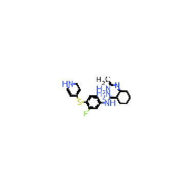 C=C(N)/N=C1/CCCC/C1=C(/N)Nc1ccc(SC2=CCNC=C2)c(F)c1